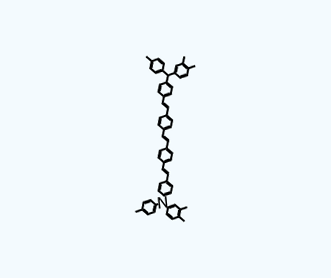 Cc1ccc(C(c2ccc(/C=C/c3ccc(/C=C/c4ccc(/C=C/c5ccc(N(c6ccc(C)cc6)c6ccc(C)c(C)c6)cc5)cc4)cc3)cc2)c2ccc(C)c(C)c2)cc1